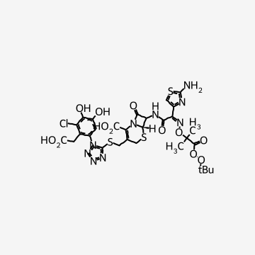 CC(C)(C)OOC(=O)C(C)(C)O/N=C(\C(=O)NC1C(=O)N2C(C(=O)O)=C(CSc3nnnn3-c3cc(O)c(O)c(Cl)c3CC(=O)O)CS[C@@H]12)c1csc(N)n1